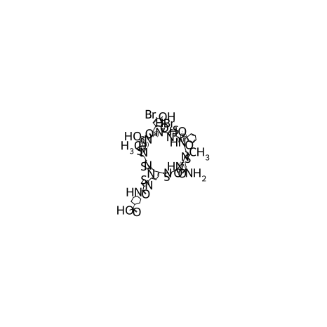 Cc1sc2nc1C(=O)N[C@@H]([C@H](O)c1ccccc1)c1nc(cs1)C(=O)N[C@@H](Cc1cc(Br)c(O)c(Br)c1)C(=O)N1C[C@H](O)[C@H](C)[C@H]1c1nc(cs1)-c1nc(cs1)-c1nc(-c3nc(C(=O)N[C@H]4CC[C@H](C(=O)O)CC4)cs3)ccc1-c1nc(cs1)C(=O)N[C@H]2CC(N)=O